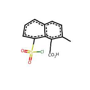 Cc1ccc2cccc(S(=O)(=O)Cl)c2c1C(=O)O